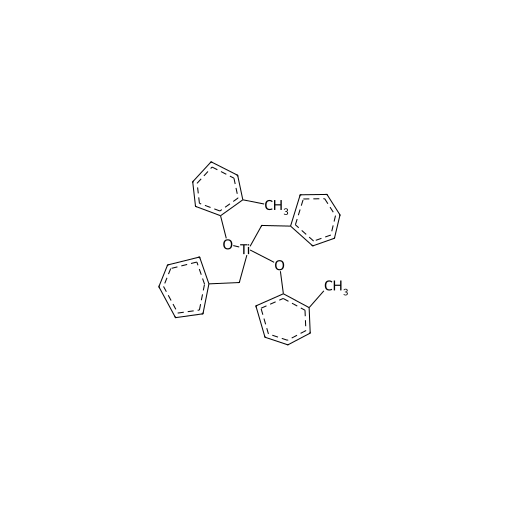 Cc1ccccc1[O][Ti]([CH2]c1ccccc1)([CH2]c1ccccc1)[O]c1ccccc1C